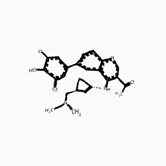 CC(=O)c1cnc2ccc(-c3cc(Cl)c(O)c(Cl)c3)cc2c1N[C@H]1C[C@H](CN(C)C)C1